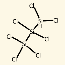 Cl[SiH](Cl)[Si](Cl)(Cl)[Si](Cl)(Cl)Cl